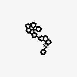 c1ccc(-c2nc3ccc4ccc5cc(-c6ccc7c(c6)C(c6ccccc6)(c6ccccc6)c6c-7ccc7ccccc67)ccc5c4c3o2)cc1